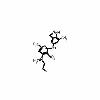 Cc1cc(Nc2nc(C(F)(F)F)cc(N(C)CCF)c2[N+](=O)[O-])cc2cn[nH]c12